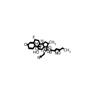 CCc1cc(C(=O)O[C@]2(C(=O)OCC#N)[C@H](C)C[C@H]3[C@@H]4C[C@H](F)C5=CC(=O)C=C[C@]5(C)C4(F)[C@@H](O)C[C@@]32C)no1